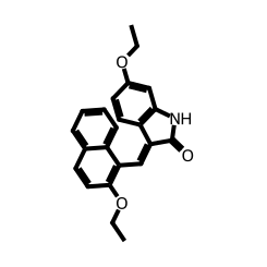 CCOc1ccc2c(c1)NC(=O)/C2=C/c1c(OCC)ccc2ccccc12